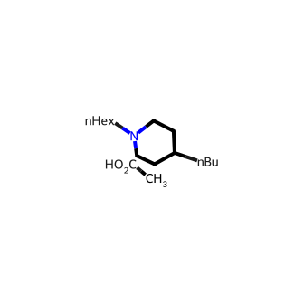 CC(=O)O.CCCCCCN1CCC(CCCC)CC1